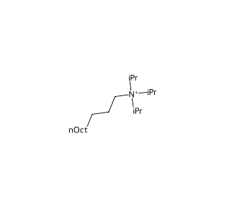 CCCCCCCCCCC[N+](C(C)C)(C(C)C)C(C)C